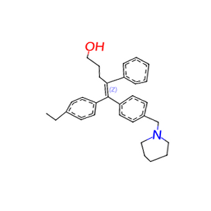 CCc1ccc(/C(=C(\CCCO)c2ccccc2)c2ccc(CN3CCCCC3)cc2)cc1